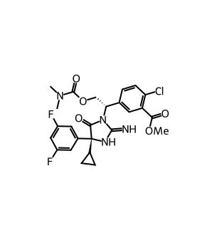 COC(=O)c1cc([C@@H](COC(=O)N(C)C)N2C(=N)N[C@@](c3cc(F)cc(F)c3)(C3CC3)C2=O)ccc1Cl